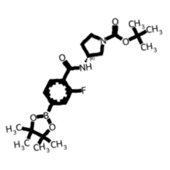 CC(C)(C)OC(=O)N1CC[C@@H](NC(=O)c2ccc(B3OC(C)(C)C(C)(C)O3)cc2F)C1